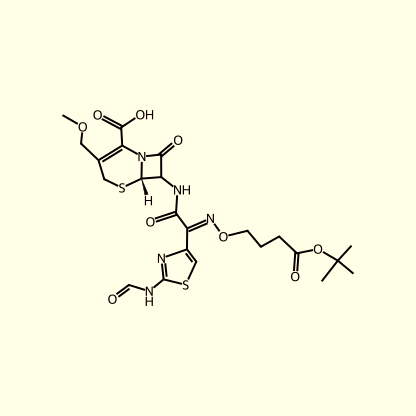 COCC1=C(C(=O)O)N2C(=O)C(NC(=O)C(=NOCCCC(=O)OC(C)(C)C)c3csc(NC=O)n3)[C@@H]2SC1